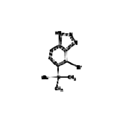 CC(C)(C)[Si](C)(C)c1ccc2[nH]nnc2c1Br